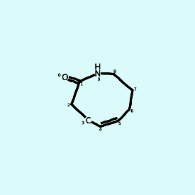 O=C1CC/C=C\CCCN1